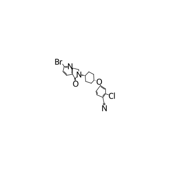 N#Cc1ccc(O[C@H]2CC[C@H](N3Cc4nc(Br)ccc4C3=O)CC2)cc1Cl